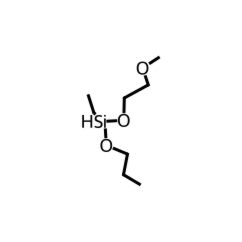 CCCO[SiH](CC)OCCOC